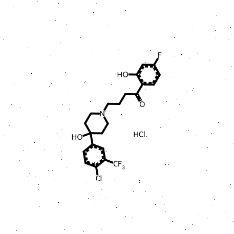 Cl.O=C(CCCN1CCC(O)(c2ccc(Cl)c(C(F)(F)F)c2)CC1)c1ccc(F)cc1O